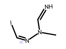 CN(C=N)/N=C\I